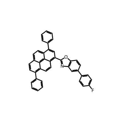 Fc1ccc(-c2ccc3oc(-c4cc(-c5ccccc5)c5ccc6ccc(-c7ccccc7)c7ccc4c5c67)nc3c2)cc1